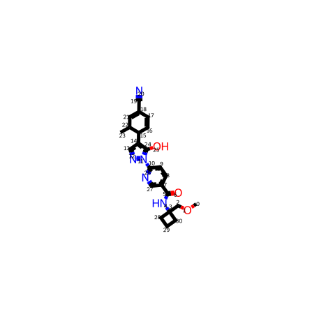 COCC1(NC(=O)c2ccc(-n3ncc(C4C=CC(C#N)=CC4C)c3O)nc2)CCC1